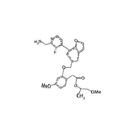 COCC(C)OC(=O)Cc1ccc(OC)cc1OCc1cc(-c2ccnc(CN)c2F)c2occc2c1